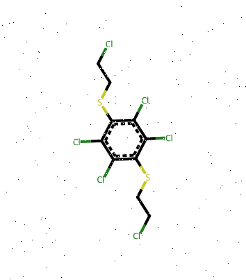 ClCCSc1c(Cl)c(Cl)c(SCCCl)c(Cl)c1Cl